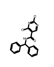 O=C(NC(c1ccccc1)c1ccccc1)c1cnc(Cl)nc1Cl